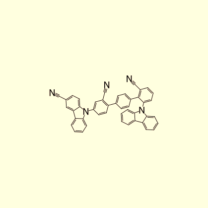 N#Cc1ccc2c(c1)c1ccccc1n2-c1ccc(-c2ccc(-c3c(C#N)cccc3-n3c4ccccc4c4ccccc43)cc2)c(C#N)c1